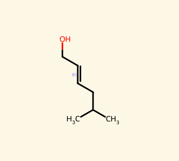 CC(C)C/C=C/CO